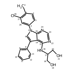 Cc1ccc(-n2cc(-c3ccccc3)c3c(NC(CO)CO)ncnc32)cc1Cl